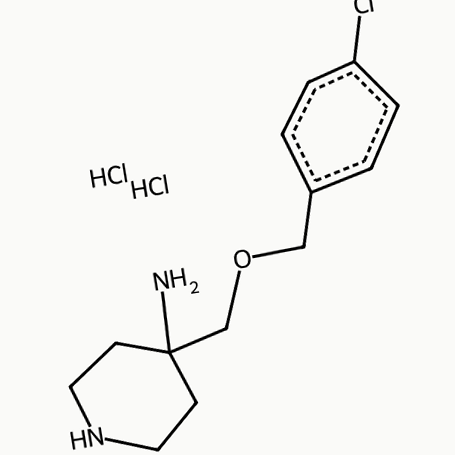 Cl.Cl.NC1(COCc2ccc(Cl)cc2)CCNCC1